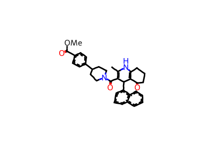 COC(=O)c1ccc(C2CCN(C(=O)C3=C(C)NC4=C(C(=O)CCC4)C3c3cccc4ccccc34)CC2)cc1